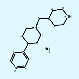 Cl.c1cc(C2CCN(CC3CCNCC3)CC2)ccn1